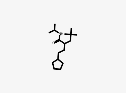 CC(C)NC(=O)C(CCC1CCCC1)CC(C)(C)C